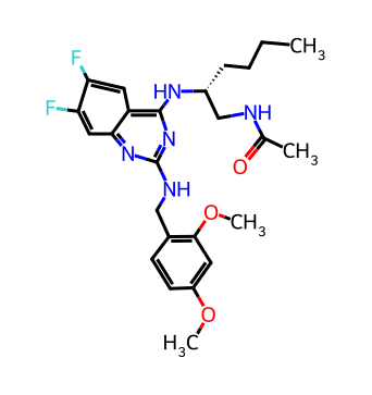 CCCC[C@H](CNC(C)=O)Nc1nc(NCc2ccc(OC)cc2OC)nc2cc(F)c(F)cc12